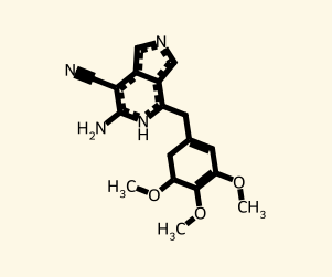 COC1=C(OC)C(OC)CC(Cc2[nH]c(N)c(C#N)c3cncc2-3)=C1